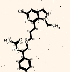 CCn1ncc2cc(Cl)nc(CCCOCC(NC(N)=O)c3ccccc3)c21